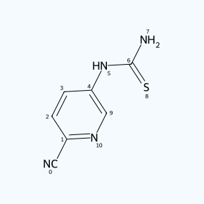 N#Cc1ccc(NC(N)=S)cn1